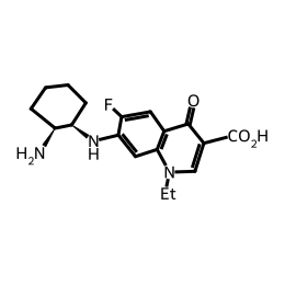 CCn1cc(C(=O)O)c(=O)c2cc(F)c(N[C@@H]3CCCC[C@@H]3N)cc21